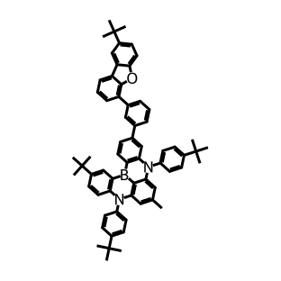 Cc1cc2c3c(c1)N(c1ccc(C(C)(C)C)cc1)c1cc(-c4cccc(-c5cccc6c5oc5ccc(C(C)(C)C)cc56)c4)ccc1B3c1cc(C(C)(C)C)ccc1N2c1ccc(C(C)(C)C)cc1